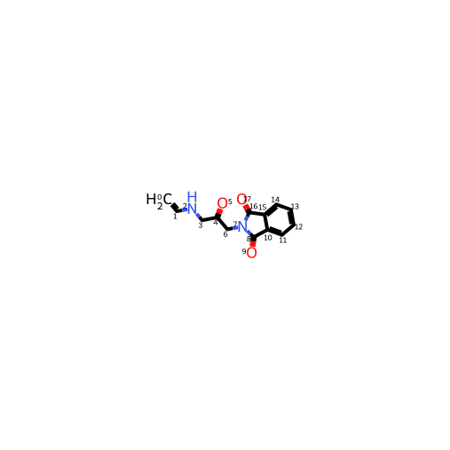 C=CNCC(=O)CN1C(=O)c2ccccc2C1=O